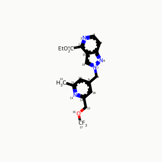 CCOC(=O)c1nccc2nn(Cc3cc(C)nc(COC(F)(F)F)c3)cc12